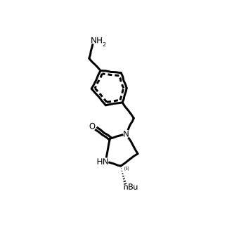 CCCC[C@H]1CN(Cc2ccc(CN)cc2)C(=O)N1